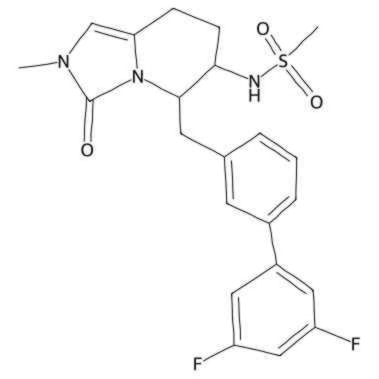 Cn1cc2n(c1=O)C(Cc1cccc(-c3cc(F)cc(F)c3)c1)C(NS(C)(=O)=O)CC2